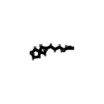 CC(C)(C)OCCCN1CC2(CCOC2)C1